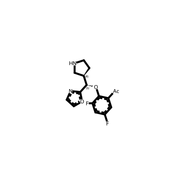 CC(=O)c1cc(F)cc(F)c1O[C@H](c1ncco1)[C@@H]1CCNC1